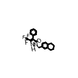 O=c1c(-c2ccccc2)c(C(F)(F)F)[nH]n1Cc1ccc2c(c1)CCCC2